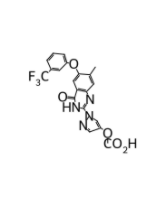 Cc1cc2nc(-n3cc(OC(=O)O)cn3)[nH]c(=O)c2cc1Oc1cccc(C(F)(F)F)c1